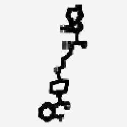 O=C(NCCCOC1CCN(C(=O)c2ccccc2F)CC1)c1cc2cnccc2[nH]1